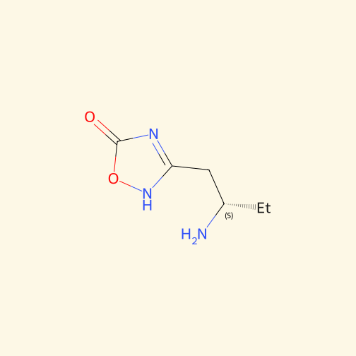 CC[C@H](N)Cc1nc(=O)o[nH]1